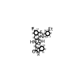 CCc1cccc(CNC[C@H](O)[C@H](Cc2cc(F)cc(F)c2)NC(=O)Cn2c(=O)n(C)c3ccccc32)c1